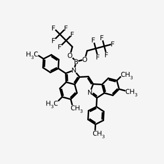 Cc1ccc(C2=N/C(=C\c3c4cc(C)c(C)cc4c(-c4ccc(C)cc4)n3B(OCC(F)(F)C(F)(F)F)OCC(F)(F)C(F)(F)F)c3cc(C)c(C)cc32)cc1